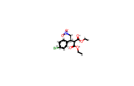 CCOC(=O)C(C(=O)OCC)[C@H](C[N+](=O)[O-])c1ccc(Br)cc1